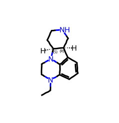 CCN1CCN2c3c(cccc31)[C@@H]1CNCC[C@@H]12